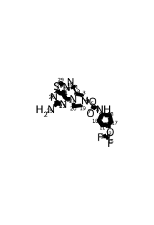 N#C[C@H]1CN(OC(=O)Nc2ccc(OC(F)F)cc2)CCN1c1nc(N)nc2scnc12